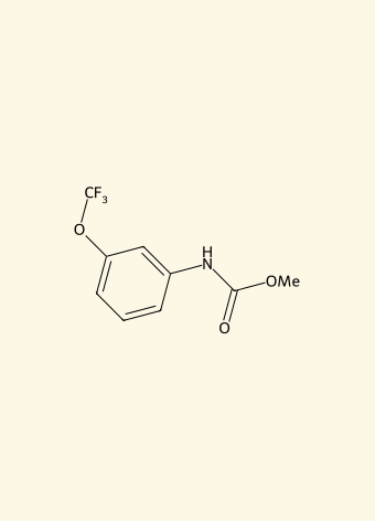 [CH2]OC(=O)Nc1cccc(OC(F)(F)F)c1